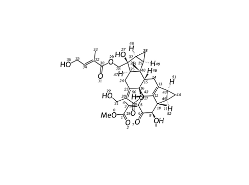 COC(=O)/C(C)=C1\C(=O)[C@H](O)[C@]2(C)C3=C(C[C@@H]4[C@]5(OC(=O)C(CO)=C5C[C@H]5[C@](O)(COC(=O)/C(C)=C/CO)[C@H]6C[C@H]6[C@]45C)[C@H]31)[C@H]1C[C@H]12